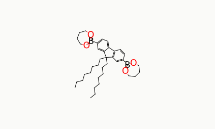 CCCCCCCCC1(CCCCCCCC)c2cc(B3OCCCCO3)ccc2-c2ccc(B3OCCCCO3)cc21